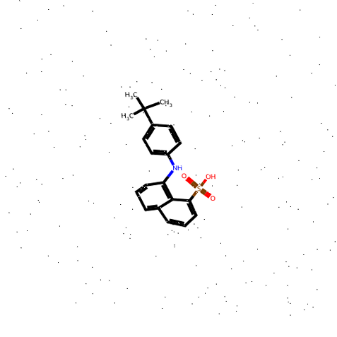 CC(C)(C)c1ccc(Nc2cccc3cccc(S(=O)(=O)O)c23)cc1